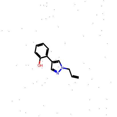 C=CCn1cc(-c2ccccc2O)cn1